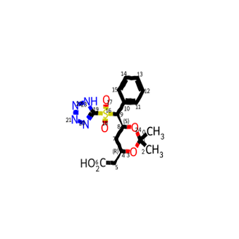 CC1(C)O[C@@H](CC(=O)O)C[C@@H](C(c2ccccc2)S(=O)(=O)c2nnn[nH]2)O1